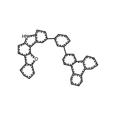 c1cc(-c2ccc3c4ccccc4c4ccccc4c3c2)cc(-c2ccc3[nH]c4ccc5c6ccccc6oc5c4c3c2)c1